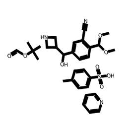 CC(C)(C)OC=O.COC(OC)c1ccc(C(O)C2CNC2)cc1C#N.Cc1ccc(S(=O)(=O)O)cc1.c1ccncc1